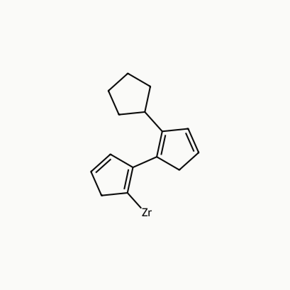 [Zr][C]1=C(C2=C(C3CCCC3)C=CC2)C=CC1